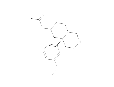 COc1cccc([C@]23CCNC[C@]2(O)CCC(OC(C)=O)C3)c1